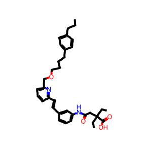 CCCc1ccc(CCCCOCc2cccc(C=Cc3cccc(NC(=O)CC(CC)(CC)C(=O)O)c3)n2)cc1